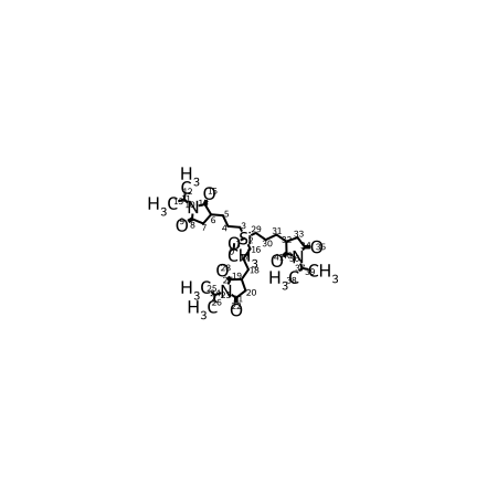 CO[Si](CCCC1CC(=O)N(C(C)C)C1=O)(CCCC1CC(=O)N(C(C)C)C1=O)CCCC1CC(=O)N(C(C)C)C1=O